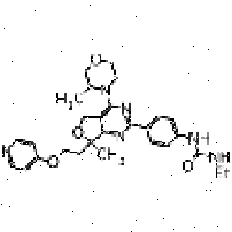 CCNC(=O)Nc1ccc(-c2nc(N3CCOCC3C)c3c(n2)C(C)(CCOc2ccncc2)OC3)cc1